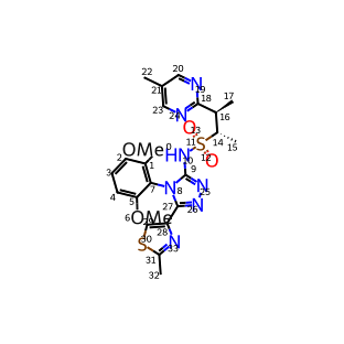 COc1cccc(OC)c1-n1c(NS(=O)(=O)[C@@H](C)[C@H](C)c2ncc(C)cn2)nnc1-c1csc(C)n1